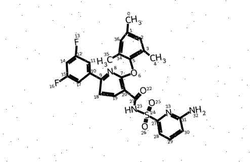 Cc1cc(C)c(Oc2nc(-c3cc(F)cc(F)c3)ccc2C(=O)NS(=O)(=O)c2cccc(N)n2)c(C)c1